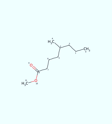 CCCC(C)CCCC(=O)OC